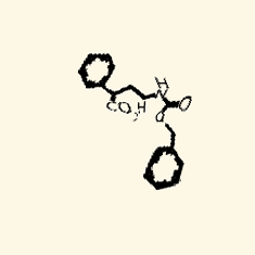 O=C(NCCC(C(=O)O)c1ccccc1)OCc1ccccc1